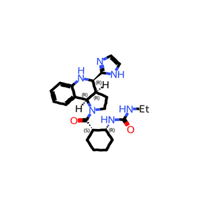 CCNC(=O)N[C@@H]1CCCC[C@@H]1C(=O)N1CC[C@@H]2[C@H](c3ncc[nH]3)Nc3ccccc3[C@@H]21